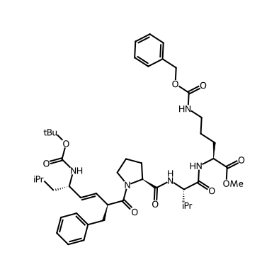 COC(=O)[C@H](CCCNC(=O)OCc1ccccc1)NC(=O)[C@@H](NC(=O)[C@@H]1CCCN1C(=O)[C@H](/C=C/[C@H](CC(C)C)NC(=O)OC(C)(C)C)Cc1ccccc1)C(C)C